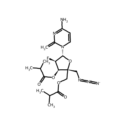 C=C1N=C(N)C=CN1[C@@H]1O[C@](CN=[N+]=[N-])(COC(=O)C(C)C)[C@@H](OC(=O)C(C)C)[C@H]1F